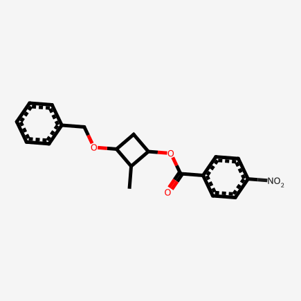 CC1C(OCc2ccccc2)CC1OC(=O)c1ccc([N+](=O)[O-])cc1